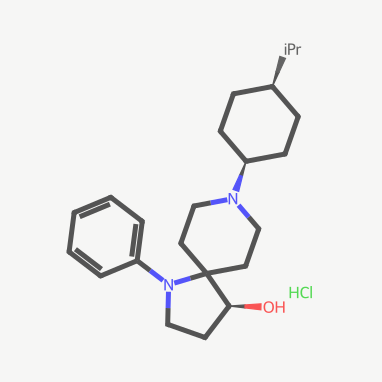 CC(C)[C@H]1CC[C@@H](N2CCC3(CC2)[C@@H](O)CCN3c2ccccc2)CC1.Cl